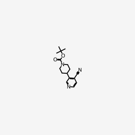 CC(C)(C)OC(=O)N1CCC(c2cnccc2C#N)CC1